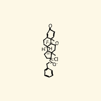 C[C@]12C=CC(=O)C=C1CC[C@H]1[C@@H]3CC[C@](Cl)([S+]([O-])Cc4ccccc4)[C@@]3(C)CC(=O)[C@@]12F